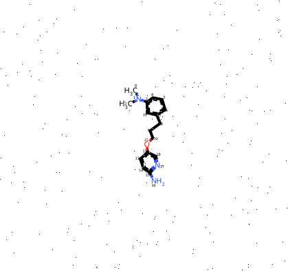 CN(C)c1cccc(CCCOc2ccc(N)nc2)c1